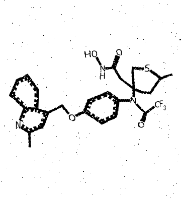 Cc1cc(COc2ccc(N(C(=O)C(F)(F)F)C3(CC(=O)NO)CSC(C)C3)cc2)c2ccccc2n1